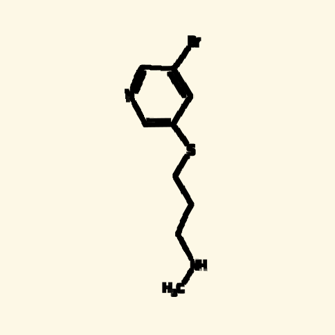 CNCCCSc1cncc(Br)c1